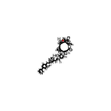 C=N/C(=C\N(N)[C@H](CF)Cc1ccc(-c2cccnc2)cc1)CCN(C)[C@H]1C[C@@H](C)O[C@@H](O[C@@H]2CC(=O)[C@@H](C)C(=O)O[C@H](CC)[C@@]3(C)OC(=O)N(N)[C@@H]3[C@@H](C)C(=O)[C@H](C)C[C@@]2(C)OC)[C@@H]1O